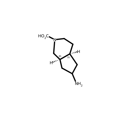 NC1C[C@@H]2CCN(C(=O)O)C[C@@H]2C1